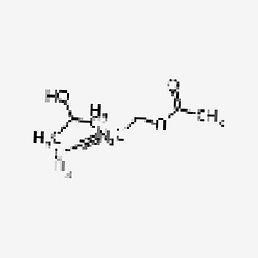 CC#N.CC(C)O.CCOC(C)=O